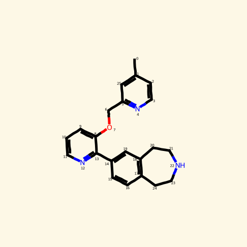 Cc1ccnc(COc2cccnc2-c2ccc3c(c2)CCNCC3)c1